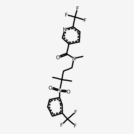 CN(CCC(C)(C)S(=O)(=O)c1cccc(C(F)(F)F)c1)C(=O)c1ccc(C(F)(F)F)nc1